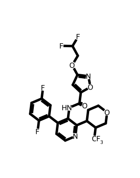 O=C(Nc1c(-c2cc(F)ccc2F)ccnc1C1CCOCC1C(F)(F)F)c1cc(OCC(F)F)no1